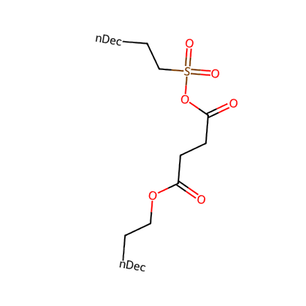 CCCCCCCCCCCCOC(=O)CCC(=O)OS(=O)(=O)CCCCCCCCCCCC